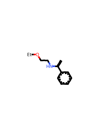 C=C(NCCOCC)c1ccccc1